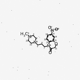 CN1CCN(CCCN2C(=O)COc3cc([N+](=O)[O-])ccc32)CC1